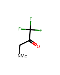 CN[CH]C(=O)C(F)(F)F